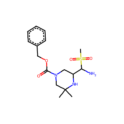 CC1(C)CN(C(=O)OCc2ccccc2)CC(C(N)S(C)(=O)=O)N1